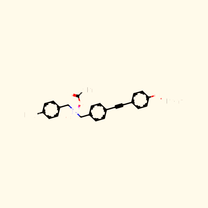 CCCCCOc1ccc(C#Cc2ccc(C[N+]([O-])(Cc3ccc(C(F)(F)F)cc3)OC(=O)CCC)cc2)cc1